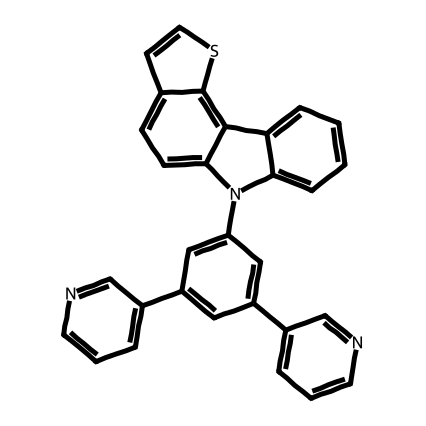 c1cncc(-c2cc(-c3cccnc3)cc(-n3c4ccccc4c4c5sccc5ccc43)c2)c1